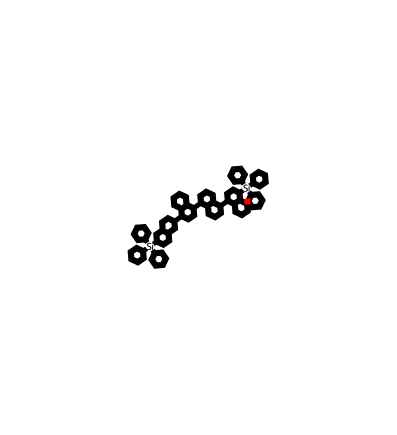 c1ccc([Si](c2ccccc2)(c2ccccc2)c2ccc3cc(-c4ccc(-c5cccc6c(-c7ccc([Si](c8ccccc8)(c8ccccc8)c8ccccc8)c8ccccc78)cccc56)c5ccccc45)ccc3c2)cc1